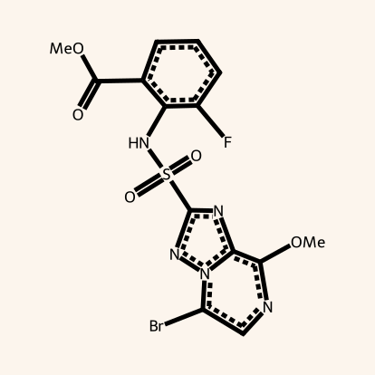 COC(=O)c1cccc(F)c1NS(=O)(=O)c1nc2c(OC)ncc(Br)n2n1